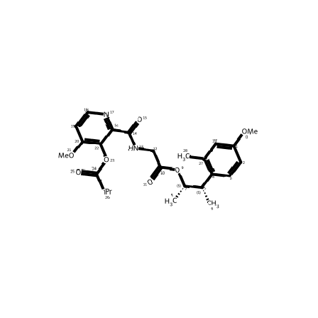 COc1ccc([C@H](C)[C@H](C)OC(=O)CNC(=O)c2nccc(OC)c2OC(=O)C(C)C)c(C)c1